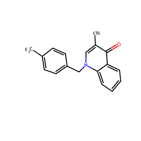 N#Cc1cn(Cc2ccc(C(F)(F)F)cc2)c2ccccc2c1=O